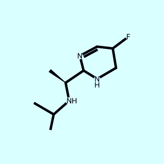 CC(C)N[C@@H](C)C1N=CC(F)CN1